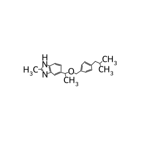 Cc1nc2cc(C(C)OCc3ccc(CC(C)C)cc3)ccc2[nH]1